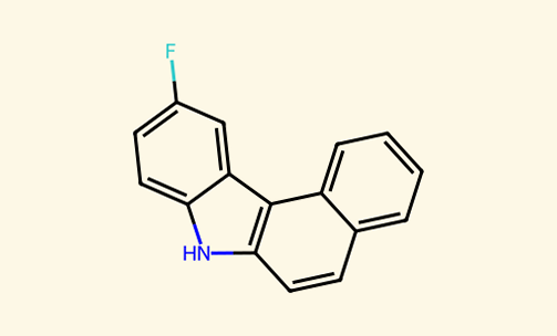 Fc1ccc2[nH]c3ccc4ccccc4c3c2c1